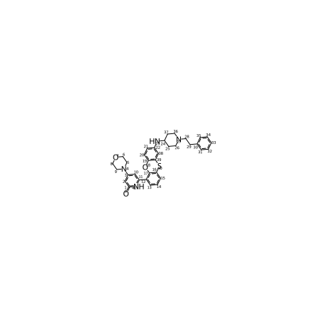 O=c1cc(N2CCOCC2)cc(-c2cccc3c2Oc2ccc(NC4CCN(CCc5ccccc5)CC4)cc2S3)[nH]1